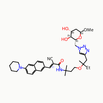 CCC(C)(Cc1cn(C[C@H]2O[C@H](OC)C[C@@H](O)[C@@H]2O)nn1)OCCC(C)(C)NC(=O)/C(C#N)=C/c1ccc2cc(N3CCCCC3)ccc2c1